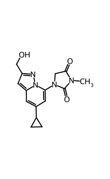 CN1C(=O)CN(c2cc(C3CC3)cc3cc(CO)nn23)C1=O